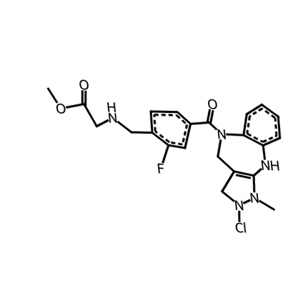 COC(=O)CNCc1ccc(C(=O)N2CC3=C(Nc4ccccc42)N(C)N(Cl)C3)cc1F